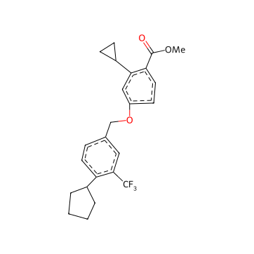 COC(=O)c1ccc(OCc2ccc(C3CCCC3)c(C(F)(F)F)c2)cc1C1CC1